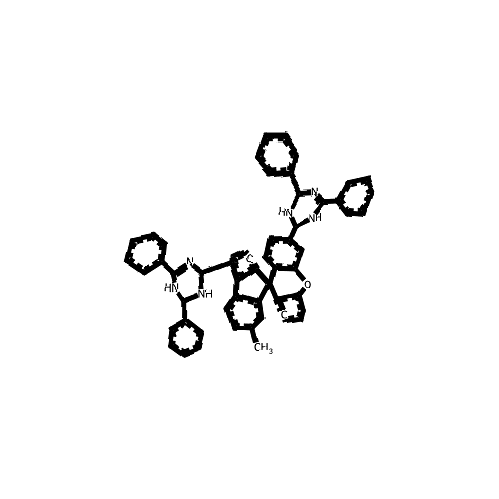 Cc1ccc2c(c1)C1(c3ccccc3Oc3cc(C4NC(c5ccccc5)=NC(c5ccccc5)N4)ccc31)c1cccc(C3N=C(c4ccccc4)NC(c4ccccc4)N3)c1-2